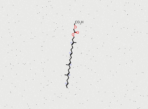 C/C=C/CC/C(C)=C/CC/C(C)=C/CC/C=C/CC/C=C(\C)CCOC(=O)COCC(=O)O